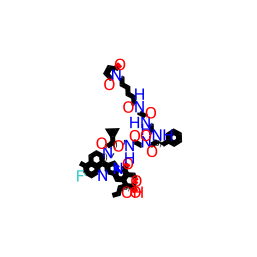 CCC[C@@]1(O)C(=O)OCc2c1cc1n(c2=O)Cc2c-1nc1cc(F)c(C)c3c1c2[C@@H](N(C)C(=O)[C@H](OCNC(=O)CNC(=O)[C@H](Cc1ccccc1)NC(=O)CNC(=O)CNC(=O)CCCCCN1C(=O)C=CC1=O)C1CC1)CC3